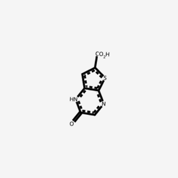 O=C(O)c1cc2[nH]c(=O)cnc2s1